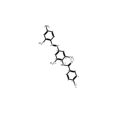 Cc1cc(N)ccc1N=Nc1cc(C)c(NC(=O)c2ccc(Cl)cc2)c(C)c1